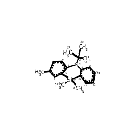 Cc1ccc2c(c1)[Si](C)(C)c1ccccc1N2C(C)(C)C